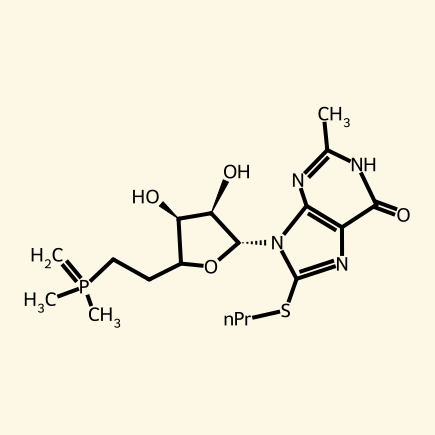 C=P(C)(C)CCC1O[C@@H](n2c(SCCC)nc3c(=O)[nH]c(C)nc32)[C@H](O)[C@@H]1O